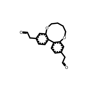 O=CCc1ccc2c(c1)OCCCCOc1cc(CC=O)ccc1-2